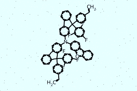 C=Cc1ccc(C2(c3c(F)cc(F)cc3F)c3ccccc3-c3ccc(N(c4ccc5c(c4)C(c4ccc(C=C)cc4)(c4c(F)cc(F)cc4F)c4ccccc4-5)c4ccc5c(c4)oc4ccccc45)cc32)cc1